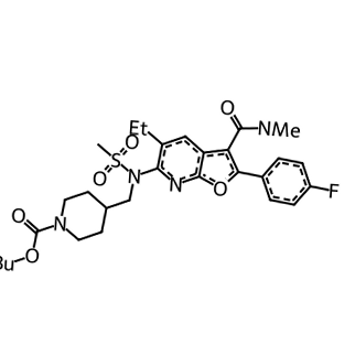 CCc1cc2c(C(=O)NC)c(-c3ccc(F)cc3)oc2nc1N(CC1CCN(C(=O)OC(C)(C)C)CC1)S(C)(=O)=O